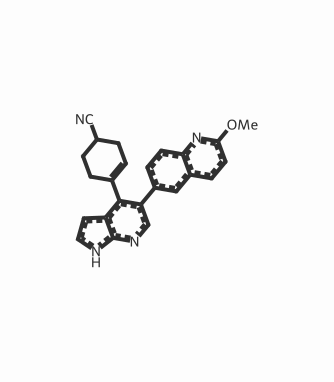 COc1ccc2cc(-c3cnc4[nH]ccc4c3C3=CCC(C#N)CC3)ccc2n1